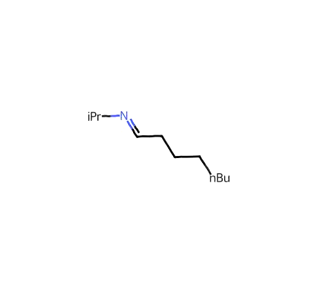 CCCCCCC/C=N/C(C)C